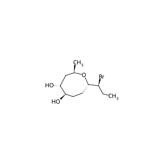 CC[C@H](Br)[C@@H]1CC[C@@H](O)[C@H](O)C[C@@H](C)O1